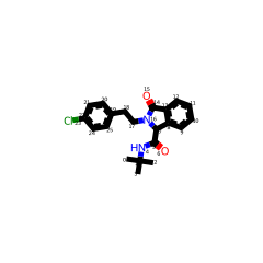 CC(C)(C)NC(=O)C1c2ccccc2C(=O)N1CCc1ccc(Cl)cc1